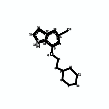 Fc1cc(OCCC2CCCCC2)c2[nH]ccc2c1